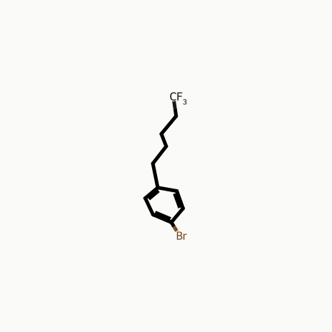 FC(F)(F)CCCCc1ccc(Br)cc1